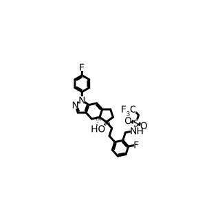 C[C@]12Cc3cnn(-c4ccc(F)cc4)c3C=C1CC[C@@]2(O)CCc1cccc(F)c1CNS(=O)(=O)CC(F)(F)F